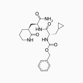 NC(=O)[C@H](C[C@@H]1CCCNC1=O)NC(=O)[C@H](CC1CC1)NC(=O)OCc1ccccc1